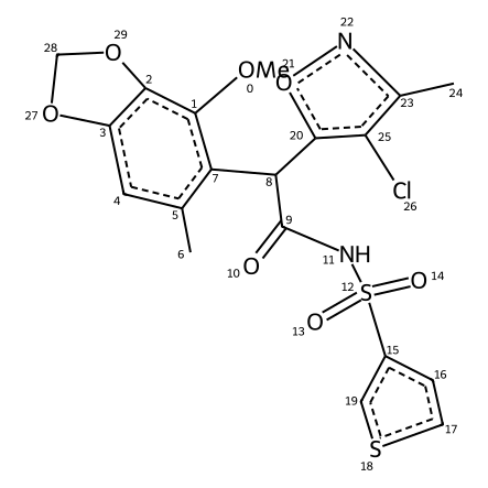 COc1c2c(cc(C)c1C(C(=O)NS(=O)(=O)c1ccsc1)c1onc(C)c1Cl)OCO2